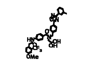 COc1ccc(CC(=O)Nc2ccc(C(=O)N(Cc3ccc(-c4nc(-c5cccc(C)c5)no4)cc3)CC(O)O)cc2)c(C(F)(F)F)c1